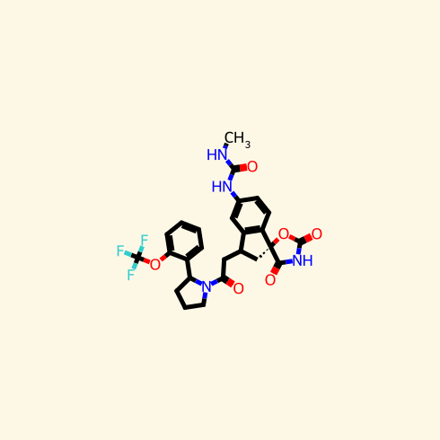 CNC(=O)Nc1ccc2c(c1)C(CC(=O)N1CCCC1c1ccccc1OC(F)(F)F)C[C@@]21OC(=O)NC1=O